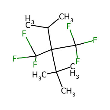 CC(C)C(C(C)(C)C)(C(F)(F)F)C(F)(F)F